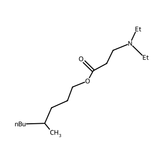 CCCCC(C)CCCOC(=O)CCN(CC)CC